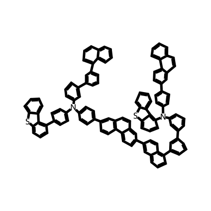 c1cc(-c2cccc(N(c3ccc(-c4ccc5c(ccc6cc(-c7ccc8c(-c9cccc(-c%10cccc(N(c%11ccc(-c%12ccc%13c(ccc%14ccccc%14%13)c%12)cc%11)c%11cccc%12sc%13ccccc%13c%11%12)c%10)c9)cccc8c7)ccc65)c4)cc3)c3ccc(-c4cccc5sc6ccccc6c45)cc3)c2)cc(-c2cccc3ccccc23)c1